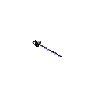 CC/C=C/C/C=C/C/C=C/C/C=C/C/C=C/C/C=C/CCC(=O)Nc1c(C)cccc1C